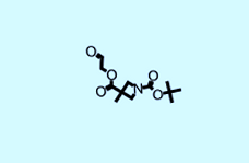 CC(C)(C)OC(=O)N1CC(C)(C(=O)OCC=O)C1